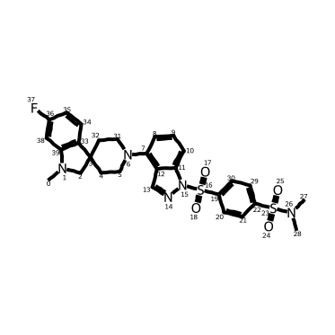 CN1CC2(CCN(c3cccc4c3cnn4S(=O)(=O)c3ccc(S(=O)(=O)N(C)C)cc3)CC2)c2ccc(F)cc21